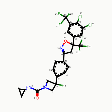 O=C(NC1CC1)N1CC(F)(c2ccc(C3=NOC(c4cc(Cl)c(Cl)c(C(F)(F)F)c4)(C(F)(F)F)C3)cc2)C1